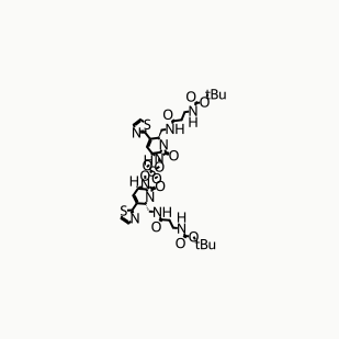 CC(C)(C)OC(=O)NCCC(=O)NC[C@@H]1C(c2nccs2)=C[C@@H]2CN1C(=O)N2OS(=O)(=O)ON1C(=O)N2C[C@H]1C=C(c1nccs1)[C@H]2CNC(=O)CCNC(=O)OC(C)(C)C